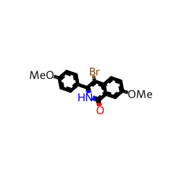 COc1ccc(-c2[nH]c(=O)c3cc(OC)ccc3c2Br)cc1